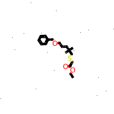 CCOC(=O)CSCC(C)(C)CCCOCc1ccccc1